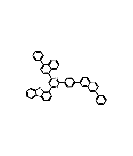 c1ccc(-c2ccc3ccc(-c4ccc(-c5nc(-c6ccc(-c7ccccc7)c7ccccc67)nc(-c6cccc7c6oc6ccccc67)n5)cc4)cc3c2)cc1